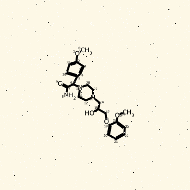 COc1ccc(C(C(N)=O)N2CCN(CC(O)COc3ccccc3OC)CC2)cc1